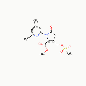 CCCCOC(=O)[C@@H]1[C@@H](COS(C)(=O)=O)CC(=O)N1c1cc(C(F)(F)F)cc(C)n1